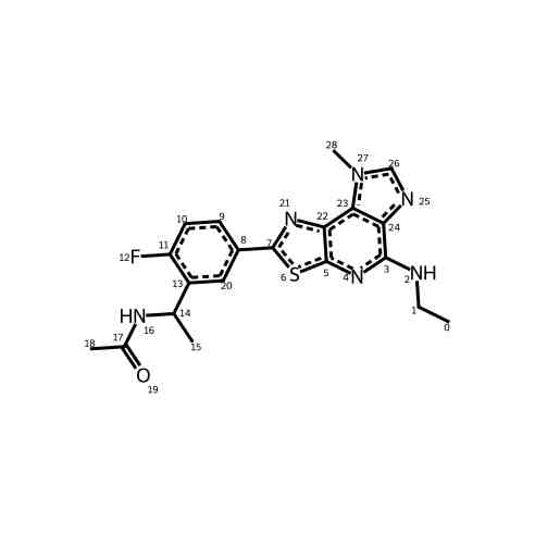 CCNc1nc2sc(-c3ccc(F)c(C(C)NC(C)=O)c3)nc2c2c1ncn2C